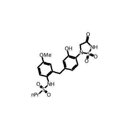 CCCS(=O)(=O)Nc1ccc(OC)cc1Cc1ccc(N2CC(=O)NS2(=O)=O)c(O)c1